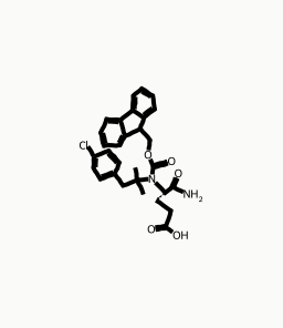 CC(C)(Cc1ccc(Cl)cc1)N(C(=O)OCC1c2ccccc2-c2ccccc21)[C@@H](CCC(=O)O)C(N)=O